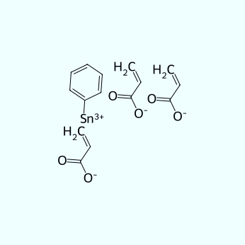 C=CC(=O)[O-].C=CC(=O)[O-].C=CC(=O)[O-].[Sn+3][c]1ccccc1